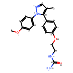 COc1ccc(-n2ncc(C)c2-c2ccc(OCCNC(N)=O)cc2)cc1